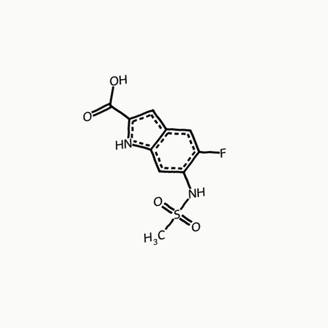 CS(=O)(=O)Nc1cc2[nH]c(C(=O)O)cc2cc1F